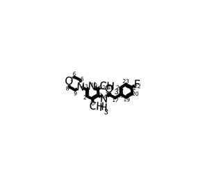 Cc1cc(N2CCOCC2)nc(C)c1NC(=O)Cc1ccc(F)cc1